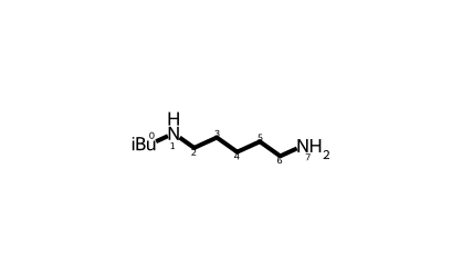 CCC(C)NCCCCCN